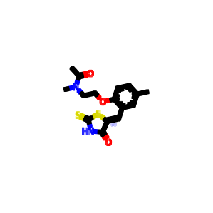 CC(=O)N(C)CCOc1ccc(C)cc1/C=C1\SC(=S)NC1=O